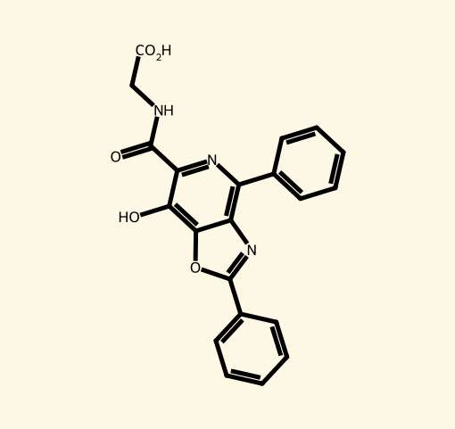 O=C(O)CNC(=O)c1nc(-c2ccccc2)c2nc(-c3ccccc3)oc2c1O